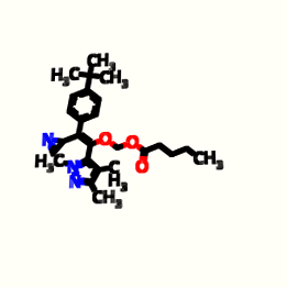 CCCCC(=O)OCO/C(=C(\c1ccc(C(C)(C)C)cc1)C1C=N1)c1c(C)c(C)nn1C